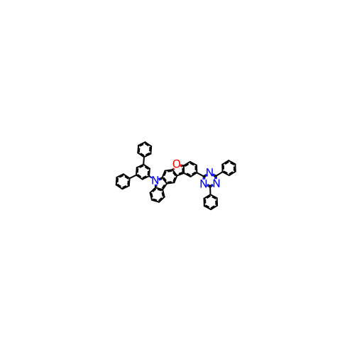 c1ccc(-c2cc(-c3ccccc3)cc(-n3c4ccccc4c4cc5c(cc43)oc3ccc(-c4nc(-c6ccccc6)nc(-c6ccccc6)n4)cc35)c2)cc1